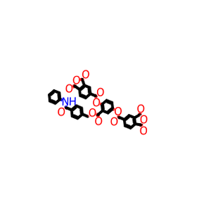 O=C(Nc1ccccc1)c1ccc(COC(=O)c2cc(OC(=O)c3ccc4c(c3)C(=O)OC4=O)ccc2OC(=O)c2ccc3c(c2)C(=O)OC3=O)cc1